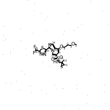 COCCCOc1cc(S(=O)(=O)NC2(C)CC2)cn2c(-c3nnc(C(F)F)s3)ncc12